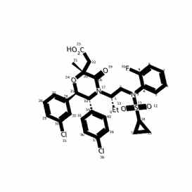 CC[C@@H](CN(c1ccccc1F)S(=O)(=O)C1CC1)N1C(=O)[C@@](C)(CC(=O)O)O[C@H](c2cccc(Cl)c2)[C@H]1c1ccc(Cl)cc1